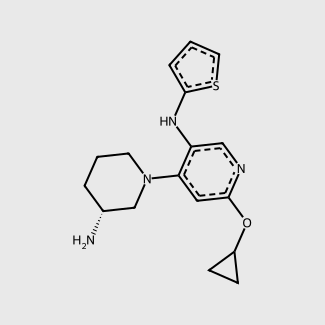 N[C@@H]1CCCN(c2cc(OC3CC3)ncc2Nc2cccs2)C1